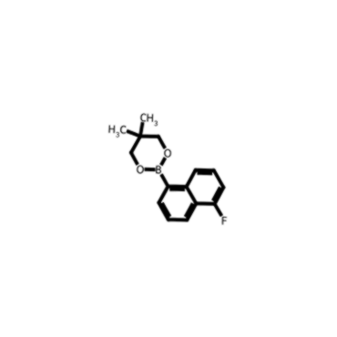 CC1(C)COB(c2cccc3c(F)cccc23)OC1